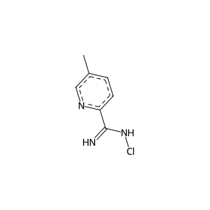 Cc1ccc(C(=N)NCl)nc1